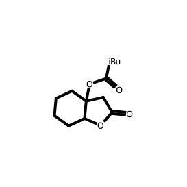 CCC(C)C(=O)OC12CCCCC1OC(=O)C2